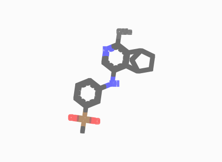 COc1ncc(Nc2cccc(S(C)(=O)=O)c2)c2c1C1CCC2C1